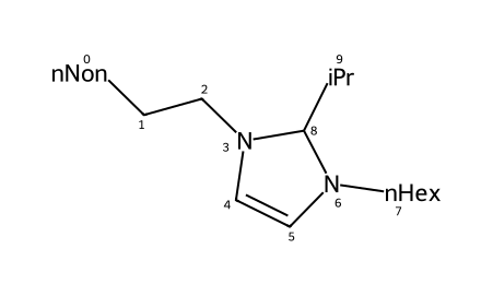 CCCCCCCCCCCN1C=CN(CCCCCC)C1C(C)C